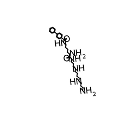 NCCCNCCCCNCCCNC(=O)[C@H](N)CCCCNC(=O)c1ccc(-c2ccccc2)cc1